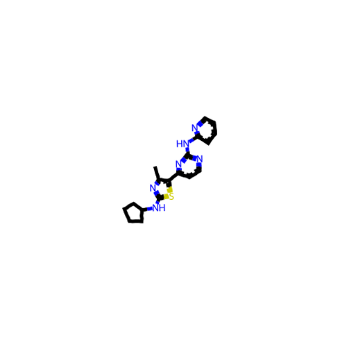 Cc1nc(NC2CCCC2)sc1-c1ccnc(Nc2ccccn2)n1